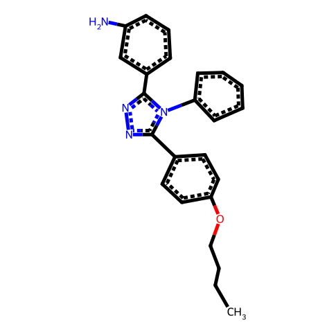 CCCCOc1ccc(-c2nnc(-c3cccc(N)c3)n2-c2ccccc2)cc1